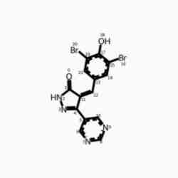 O=C1NN=C(c2cncnc2)C1=Cc1cc(Br)c(O)c(Br)c1